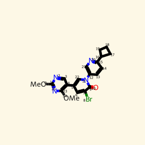 COc1ncc(-c2cc(Br)c(=O)n(-c3ccc(C4CCC4)nc3)c2)c(OC)n1